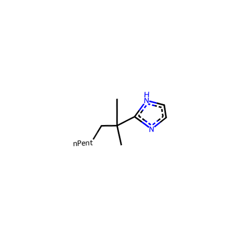 CCCCCCC(C)(C)c1ncc[nH]1